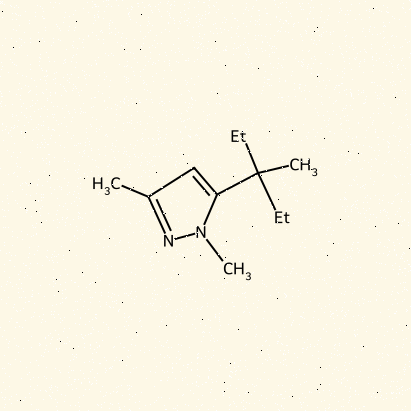 CCC(C)(CC)c1cc(C)nn1C